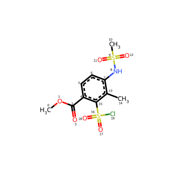 COC(=O)c1ccc(NS(C)(=O)=O)c(C)c1S(=O)(=O)Cl